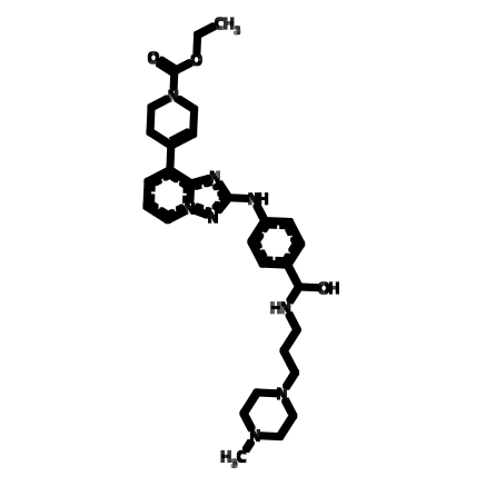 CCOC(=O)N1CC=C(c2cccn3nc(Nc4ccc(C(O)NCCCN5CCN(C)CC5)cc4)nc23)CC1